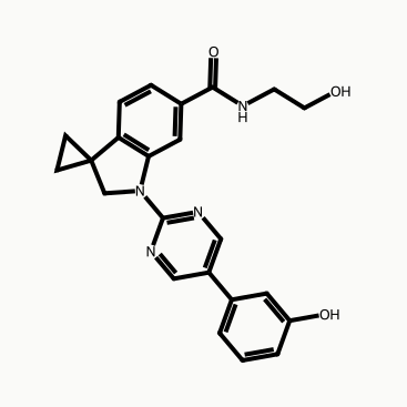 O=C(NCCO)c1ccc2c(c1)N(c1ncc(-c3cccc(O)c3)cn1)CC21CC1